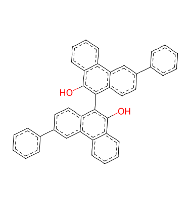 Oc1c(-c2c(O)c3ccccc3c3cc(-c4ccccc4)ccc23)c2ccc(-c3ccccc3)cc2c2ccccc12